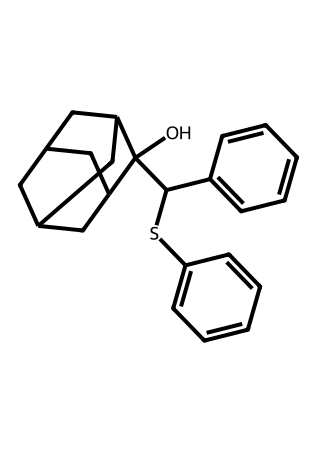 OC1(C(Sc2ccccc2)c2ccccc2)C2CC3CC(C2)CC1C3